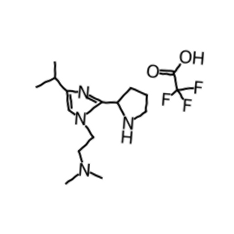 CC(C)c1cn(CCN(C)C)c(C2CCCN2)n1.O=C(O)C(F)(F)F